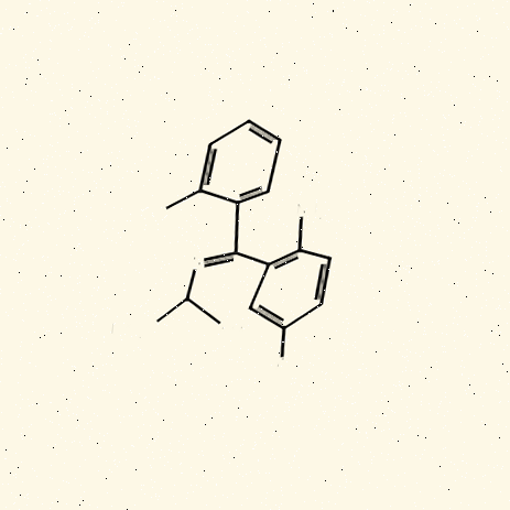 CCOC(=O)C(N=C(c1cc(Cl)ccc1N)c1ccccc1F)C(=O)OCC